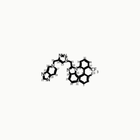 Fc1ccccc1-c1c(-n2c(Cn3cc(Cn4ccc5ncnc-5c4)nn3)nc3ccccc32)cccc1C(F)(F)F